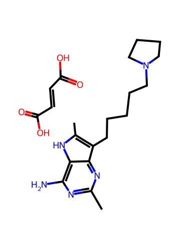 Cc1nc(N)c2[nH]c(C)c(CCCCCN3CCCC3)c2n1.O=C(O)C=CC(=O)O